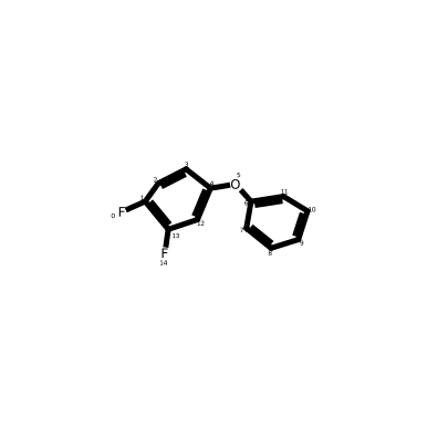 Fc1ccc(Oc2[c]cccc2)cc1F